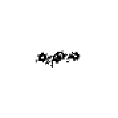 O=C(NC1CC2CC3CC(NS(=O)(=O)c4cccc(F)c4)(C2)CC3C1)c1ccccn1